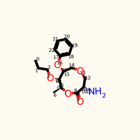 CCCO[C@H]1[C@H](C)OC(=O)[C@@H](N)COC[C@@H]1Oc1ccccc1